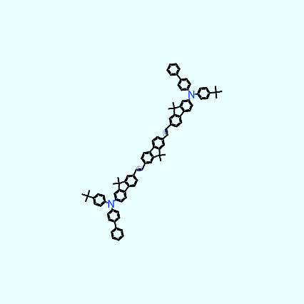 CC(C)(C)c1ccc(N(c2ccc(-c3ccccc3)cc2)c2ccc3c(c2)C(C)(C)c2cc(/C=C/c4ccc5c(c4)C(C)(C)c4cc(/C=C/c6ccc7c(c6)C(C)(C)c6cc(N(c8ccc(-c9ccccc9)cc8)c8ccc(C(C)(C)C)cc8)ccc6-7)ccc4-5)ccc2-3)cc1